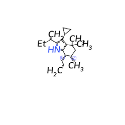 C=C/C=C1\C(=C/C)CC(C)(C)c2c1[nH]c(C(=C)CC)c2C1CC1